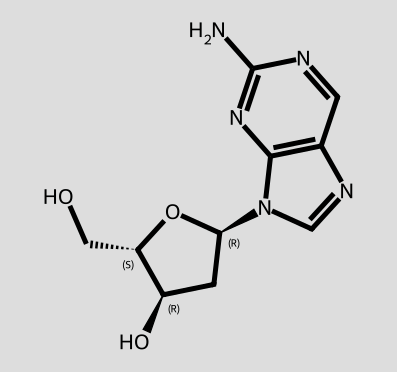 Nc1ncc2ncn([C@H]3C[C@@H](O)[C@H](CO)O3)c2n1